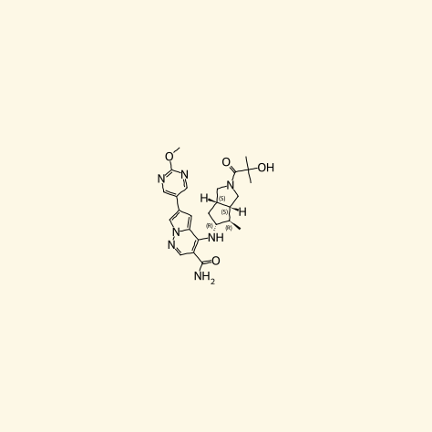 COc1ncc(-c2cc3c(N[C@@H]4C[C@@H]5CN(C(=O)C(C)(C)O)C[C@@H]5[C@H]4C)c(C(N)=O)cnn3c2)cn1